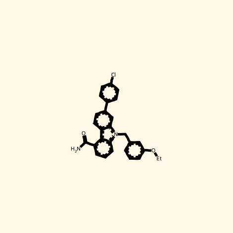 CCOc1cccc(Cn2c3cc(-c4ccc(Cl)cc4)c[c]c3c3c(C(N)=O)cccc32)c1